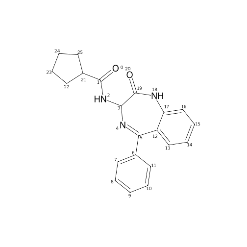 O=C(NC1N=C(c2ccccc2)c2ccccc2NC1=O)C1CCCC1